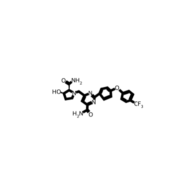 NC(=O)c1cc(CN2CC[C@@H](O)[C@H]2C(N)=O)nc(-c2ccc(Oc3ccc(C(F)(F)F)cc3)cc2)n1